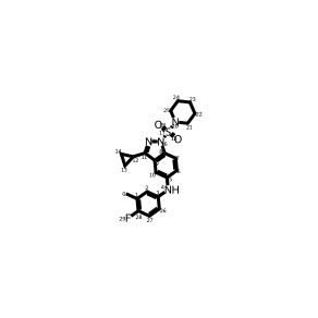 Cc1cc(Nc2ccc3c(c2)c(C2CC2)nn3S(=O)(=O)N2CCCCC2)ccc1F